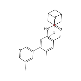 COC1CC2CC(C1)N2C(=O)Nc1cc(-c2cncc(F)c2)c(C)cc1F